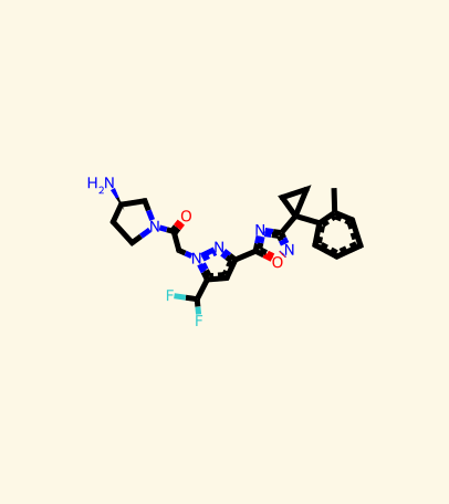 Cc1ccccc1C1(c2noc(-c3cc(C(F)F)n(CC(=O)N4CC[C@@H](N)C4)n3)n2)CC1